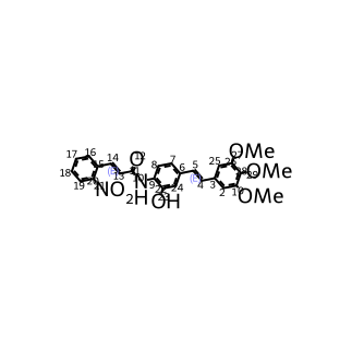 COc1cc(/C=C/c2ccc(NC(=O)/C=C/c3ccccc3[N+](=O)[O-])c(O)c2)cc(OC)c1OC